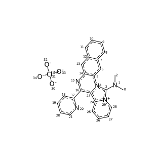 CN(C)c1n2c3cc4ccccc4cc3nc(-c3ccccn3)c2c2cccc[n+]12.[O-][Cl+3]([O-])([O-])[O-]